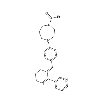 CCC(=O)N1CCCN(c2ccc(/C=C3\CCCN=C3c3cccnc3)cc2)CC1